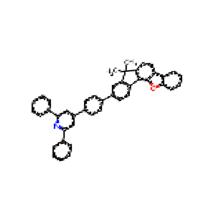 CC1(C)c2cc(-c3ccc(-c4cc(-c5ccccc5)nc(-c5ccccc5)c4)cc3)ccc2-c2c1ccc1c2oc2ccccc21